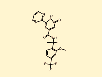 COc1cc(C(F)(F)F)ccc1C(C)(C)NC(=O)c1cc(=O)[nH]c(-c2ncccn2)n1